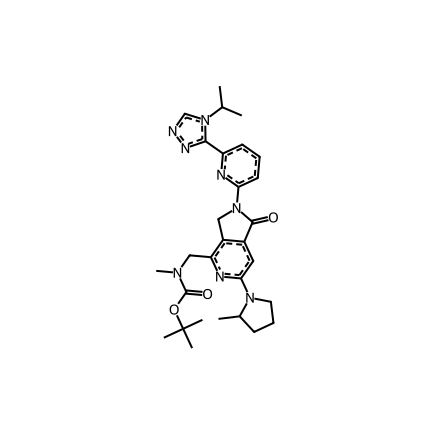 CC1CCCN1c1cc2c(c(CN(C)C(=O)OC(C)(C)C)n1)CN(c1cccc(-c3nncn3C(C)C)n1)C2=O